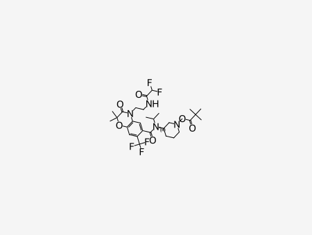 CC(C)N(C(=O)c1cc2c(cc1C(F)(F)F)OC(C)(C)C(=O)N2CCNC(=O)C(F)F)[C@@H]1CCCN(OC(=O)C(C)(C)C)C1